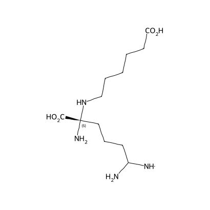 [NH]C(N)CCC[C@](N)(NCCCCCC(=O)O)C(=O)O